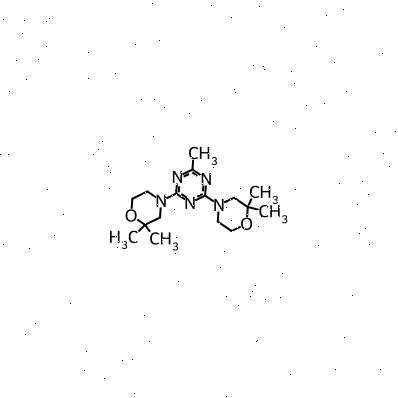 Cc1nc(N2CCOC(C)(C)C2)nc(N2CCOC(C)(C)C2)n1